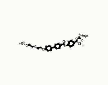 CCCCCCCC(=O)O[C@H](C)c1ccc(OC(=O)c2ccc(-c3ccc(OCCOCCOCCCC)cc3)cc2)cc1